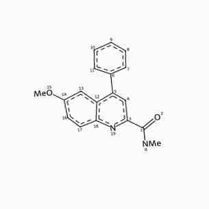 CNC(=O)c1cc(-c2ccccc2)c2cc(OC)ccc2n1